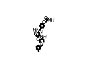 CNC(=O)COc1ccc(-c2nc3c(NC4CCN(Cc5cccc(C)c5)CC4)c(Cl)cnc3[nH]2)cc1